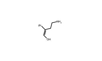 CC(C)/C(=C/O)CCN